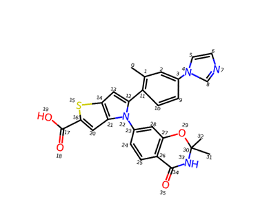 Cc1cc(-n2ccnc2)ccc1-c1cc2sc(C(=O)O)cc2n1-c1ccc2c(c1)OC(C)(C)NC2=O